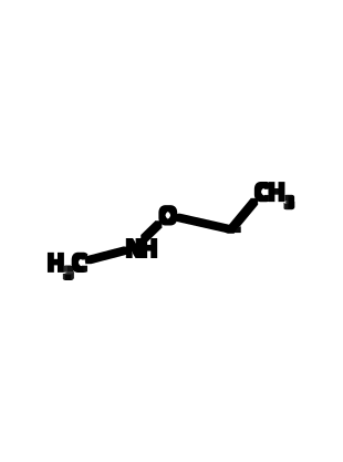 C[CH]ONC